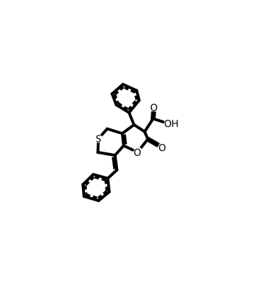 O=C(O)C1C(=O)OC2=C(CSCC2=Cc2ccccc2)C1c1ccccc1